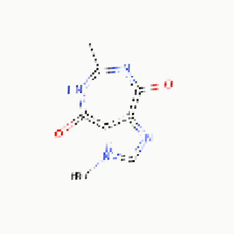 Cc1nc(=O)c2ncn(C(C)(C)C)c2c(=O)[nH]1